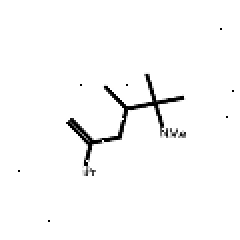 C=C(CC(C)C(C)(C)NC)C(C)C